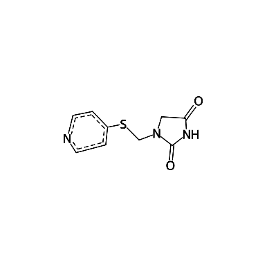 O=C1CN(CSc2ccncc2)C(=O)N1